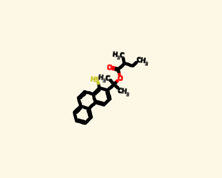 CCC(C)C(=O)OC(C)(C)c1ccc2c(ccc3ccccc32)c1S